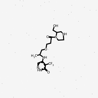 CC(COCCC(=O)N1CCNCC1CO)Nc1cn[nH]c(=O)c1C(F)(F)F